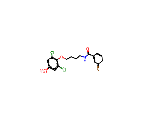 O=C(NCCCCOc1c(Cl)cc(O)cc1Cl)C1=CC(=S)CC=C1